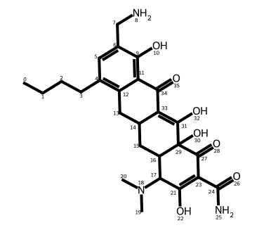 CCCCc1cc(CN)c(O)c2c1CC1CC3C(N(C)C)C(O)=C(C(N)=O)C(=O)C3(O)C(O)=C1C2=O